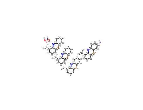 CC(C)c1cccc2[s+]c3ccccc3nc12.CC(C)c1cccc2[s+]c3ccccc3nc12.CC(C)c1cccc2[s+]c3ccccc3nc12.CC(C)c1cccc2[s+]c3ccccc3nc12.O.[I-].[I-].[I-].[I-]